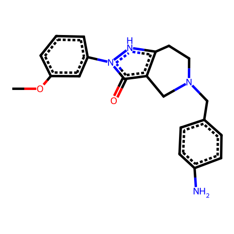 COc1cccc(-n2[nH]c3c(c2=O)CN(Cc2ccc(N)cc2)CC3)c1